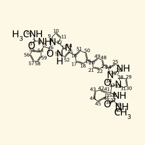 CNC(=O)NC(C(=O)N1CC=CC1c1nc(-c2ccc(-c3ccc(-c4c[nH]c([C@@H]5C=CCN5C(=O)C(NC(=O)NC)c5ccccc5)n4)cc3)cc2)c[nH]1)c1ccccc1